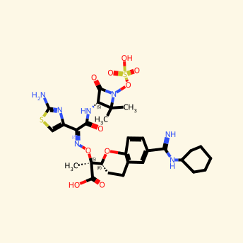 CC1(C)[C@H](NC(=O)/C(=N\O[C@](C)(C(=O)O)[C@H]2CCc3cc(C(=N)NC4CCCCC4)ccc3O2)c2csc(N)n2)C(=O)N1OS(=O)(=O)O